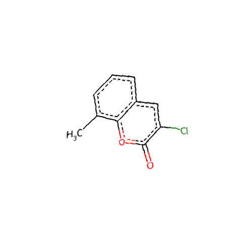 Cc1cccc2cc(Cl)c(=O)oc12